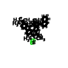 CCCC1=Cc2c(-c3cccc4ccccc34)cccc2C1c1c(C(C)(C)C)ccc2c1[CH]([Zr+2][SiH](C)C)c1cc(C(C)(C)C)ccc1-2.[Cl-].[Cl-]